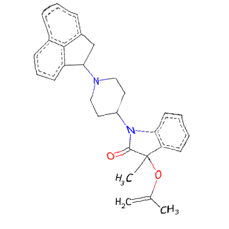 C=C(C)OC1(C)C(=O)N(C2CCN(C3Cc4cccc5cccc3c45)CC2)c2ccccc21